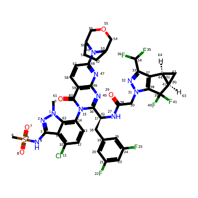 Cn1nc(NS(C)(=O)=O)c2c(Cl)ccc(-n3c([C@H](Cc4cc(F)cc(F)c4)NC(=O)Cn4nc(C(F)F)c5c4C(F)(F)[C@@H]4C[C@H]54)nc4nc(N5C6CCC5COC6)ccc4c3=O)c21